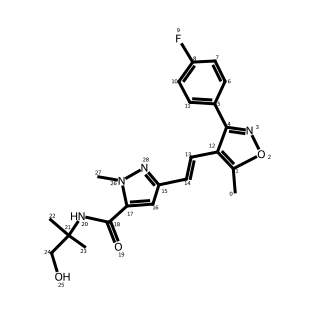 Cc1onc(-c2ccc(F)cc2)c1/C=C/c1cc(C(=O)NC(C)(C)CO)n(C)n1